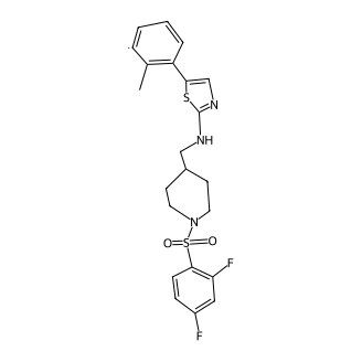 Cc1[c]cccc1-c1cnc(NCC2CCN(S(=O)(=O)c3ccc(F)cc3F)CC2)s1